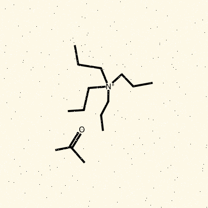 CC(C)=O.CCC[N+](CCC)(CCC)CCC